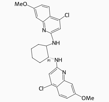 COc1ccc2c(Cl)cc(NC3CCCC[C@H]3Nc3cc(Cl)c4ccc(OC)cc4n3)nc2c1